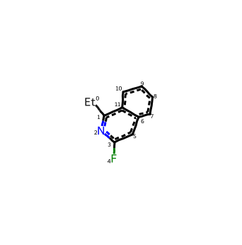 CCc1nc(F)cc2ccccc12